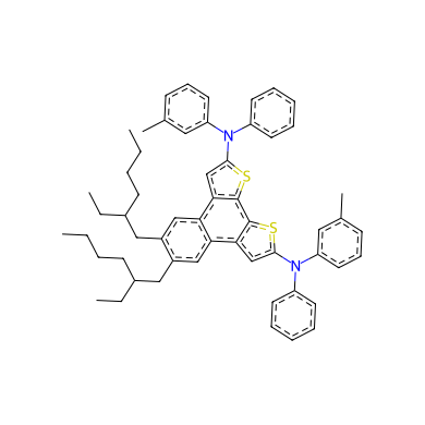 CCCCC(CC)Cc1cc2c(cc1CC(CC)CCCC)c1cc(N(c3ccccc3)c3cccc(C)c3)sc1c1sc(N(c3ccccc3)c3cccc(C)c3)cc21